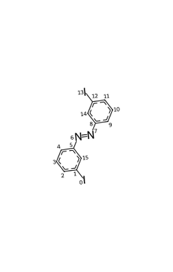 Ic1cccc(N=Nc2cccc(I)c2)c1